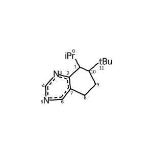 CC(C)C1c2ncncc2CCC1C(C)(C)C